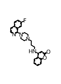 O=c1cc(NCCCN2CCN(c3nccc4ccc(F)cc34)CC2)c2ccccc2o1